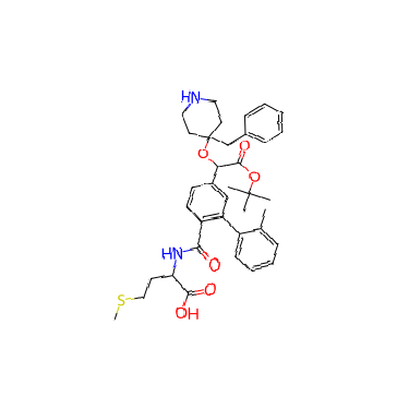 CSCCC(NC(=O)c1ccc(C(OC2(Cc3ccccc3)CCNCC2)C(=O)OC(C)(C)C)cc1-c1ccccc1C)C(=O)O